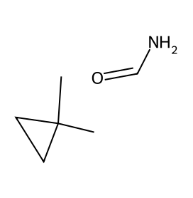 CC1(C)CC1.NC=O